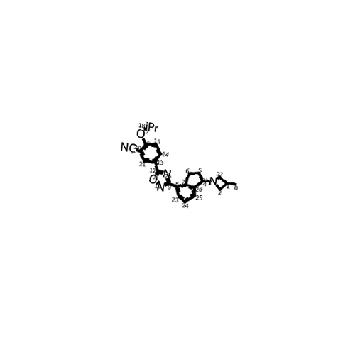 CC1CN([C@@H]2CCc3c(-c4noc(-c5ccc(OC(C)C)c(C#N)c5)n4)cccc32)C1